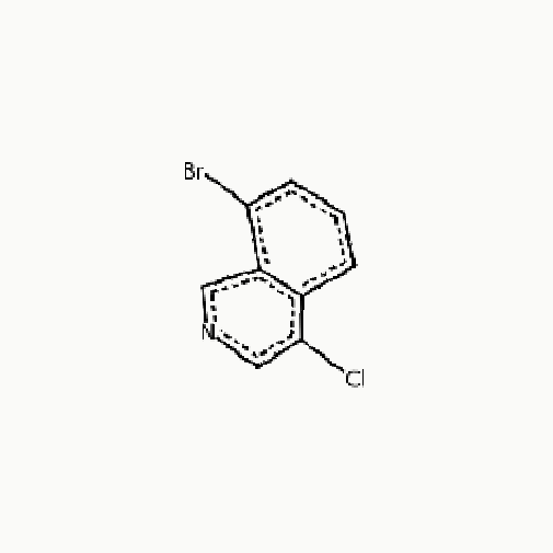 Clc1cncc2c(Br)cccc12